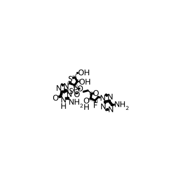 Nc1nc2c(ncn2[C@@H]2S[C@H](CO)[C@@H](O)[C@H]2P(=O)(S)OCC[C@H]2OC(n3cnc4c(N)ncnc43)[C@@H](F)[C@@H]2O)c(=O)[nH]1